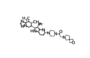 Cc1c(-c2[nH]c3ccc(N4CCN(C(=O)CN5CCC6(COC6)C5)CC4)nc3c2C(C)C)cn2ncnc2c1C